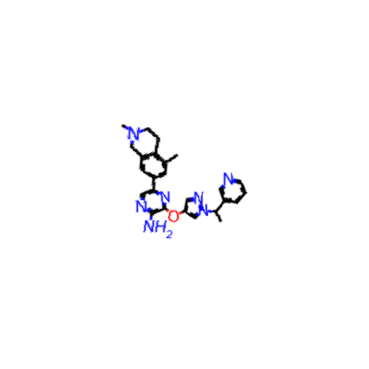 Cc1cc(-c2cnc(N)c(Oc3cnn(C(C)c4cccnc4)c3)n2)cc2c1CCN(C)C2